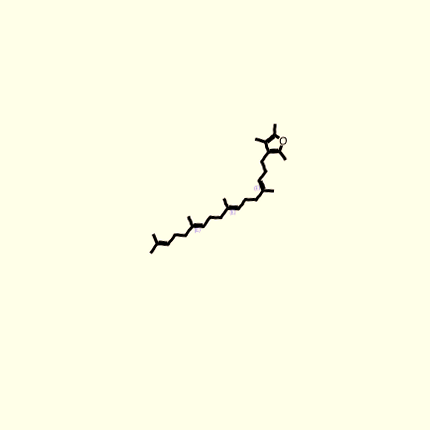 CC(C)=CCC/C(C)=C/CC/C(C)=C/CC/C(C)=C/CCc1c(C)oc(C)c1C